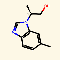 Cc1ccc2ncn([C@@H](C)CO)c2c1